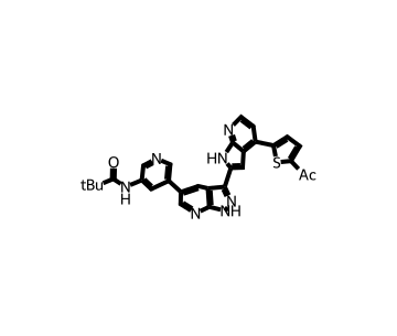 CC(=O)c1ccc(-c2ccnc3[nH]c(-c4n[nH]c5ncc(-c6cncc(NC(=O)C(C)(C)C)c6)cc45)cc23)s1